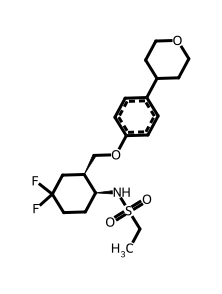 CCS(=O)(=O)N[C@H]1CCC(F)(F)C[C@H]1COc1ccc(C2CCOCC2)cc1